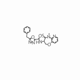 CN1C(=S)C(NC(=O)c2nnc(Cc3ccccc3)o2)COc2cccnc21